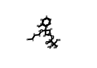 CCCCOC1(c2ccccc2C)CN(OC(=O)C(F)(F)F)C1